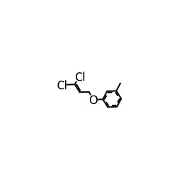 Cc1cccc(OCC=C(Cl)Cl)c1